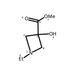 CCN1CC(O)(C(=O)OC)C1